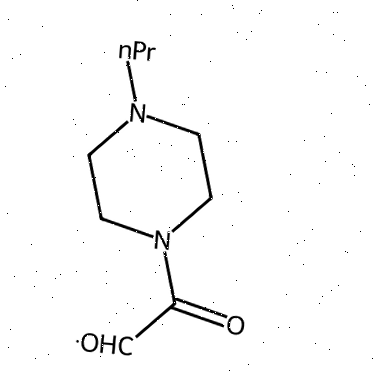 CCCN1CCN(C(=O)[C]=O)CC1